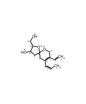 C=CC1=C(/C=C\C)CC2(CC(O)C(CO)O2)OC1